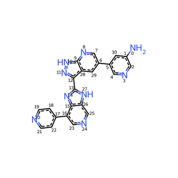 Nc1cncc(-c2cnc3[nH]nc(-c4nc5c(-c6ccncc6)cncc5[nH]4)c3c2)c1